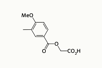 COc1ccc(C(=O)OCC(=O)O)cc1C